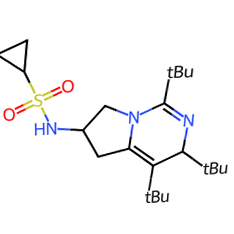 CC(C)(C)C1=NC(C(C)(C)C)C(C(C)(C)C)=C2CC(NS(=O)(=O)C3CC3)CN12